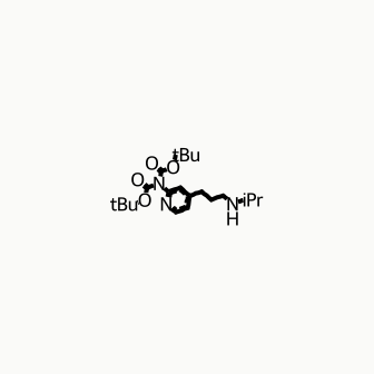 CC(C)NCCCc1ccnc(N(C(=O)OC(C)(C)C)C(=O)OC(C)(C)C)c1